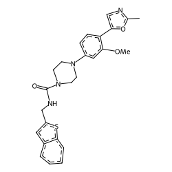 COc1cc(N2CCN(C(=O)NCc3cc4ccccc4s3)CC2)ccc1-c1cnc(C)o1